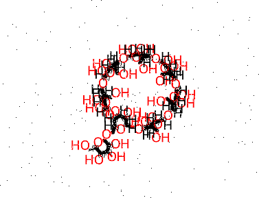 OC[C@H]1OC(OC[C@H]2O[C@@H]3O[C@H]4[C@H](O)[C@@H](O)[C@@H](O[C@H]5[C@H](O)[C@@H](O)[C@@H](O[C@H]6[C@H](O)[C@@H](O)[C@@H](O[C@H]7[C@H](O)[C@@H](O)[C@@H](O[C@H]8[C@H](O)[C@@H](O)[C@@H](O[C@H]9[C@H](O)[C@@H](O)[C@@H](O[C@H]2[C@H](O)[C@H]3O)O[C@@H]9CO)O[C@@H]8CO)O[C@@H]7CO)O[C@@H]6CO)O[C@@H]5CO)O[C@@H]4CO)[C@H](O)[C@@H](O)[C@@H]1O